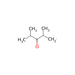 [CH2]C(C)C(=O)C(C)C